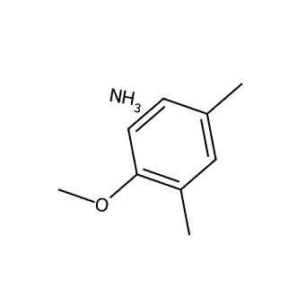 COc1ccc(C)cc1C.N